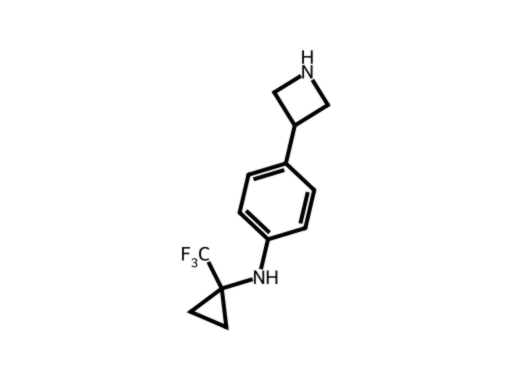 FC(F)(F)C1(Nc2ccc(C3CNC3)cc2)CC1